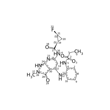 CCS(=O)(=O)Nc1ccccc1Nc1cc(NC(=O)[C@@H]2C[C@@H]2F)nc2[nH]n(C)c(=O)c12